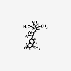 CCO[Si](CCCN(C(=O)O)c1ccc2c(C)cc(=O)oc2c1)(OCC)OCC